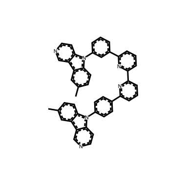 Cc1ccc2c(c1)c1cnccc1n2-c1ccc(-c2cccc(-c3cccc(-c4cccc(-n5c6ccncc6c6cc(C)ccc65)c4)n3)n2)cc1